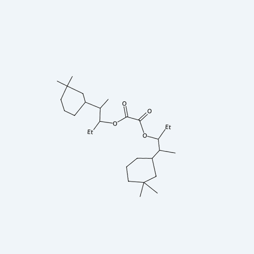 CCC(OC(=O)C(=O)OC(CC)C(C)C1CCCC(C)(C)C1)C(C)C1CCCC(C)(C)C1